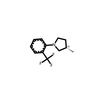 [CH2][C@H]1CCN(c2ccccc2C(F)(F)F)C1